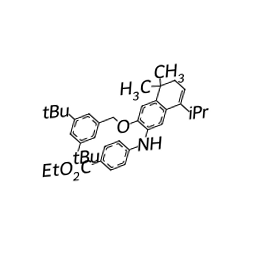 CCOC(=O)c1ccc(Nc2cc3c(cc2OCc2cc(C(C)(C)C)cc(C(C)(C)C)c2)C(C)(C)CC=C3C(C)C)cc1